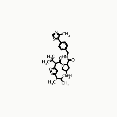 Cc1ncsc1-c1ccc(CNC(=O)C2CC(O)CN2C(=O)C(c2cc([C@@H](C)C(C)C)no2)C(C)C)cc1